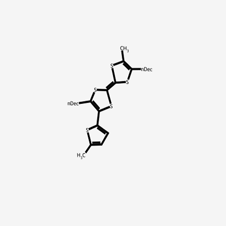 CCCCCCCCCCC1=C(C)S/C(=C2\SC(CCCCCCCCCC)=C(c3ccc(C)s3)S2)S1